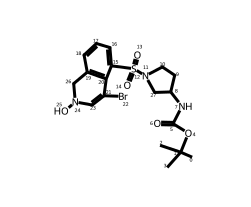 CC(C)(C)OC(=O)NC1CCN(S(=O)(=O)c2cccc3c2C(Br)=CN(O)C3)C1